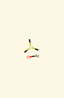 CC(=O)[O-].C[S+](C)C